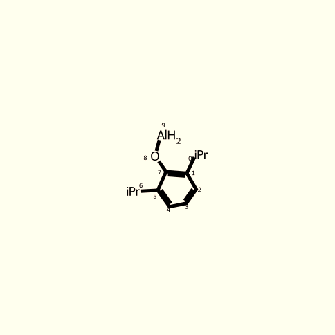 CC(C)c1cccc(C(C)C)c1[O][AlH2]